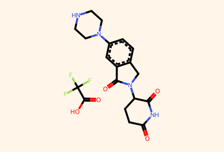 O=C(O)C(F)(F)F.O=C1CCC(N2Cc3ccc(N4CCNCC4)cc3C2=O)C(=O)N1